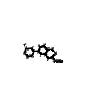 CNc1cc2cc(C3=C[C@@H](C)N=CS3)ccc2cn1